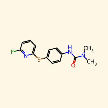 CN(C)C(=O)Nc1ccc(Sc2cccc(F)n2)cc1